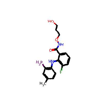 Cc1ccc(Nc2c(F)cccc2C(=O)NOCCCO)c(P)c1